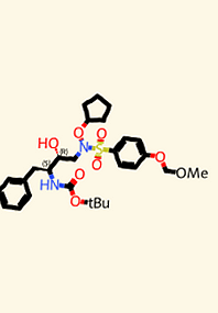 COCOc1ccc(S(=O)(=O)N(C[C@@H](O)[C@H](Cc2ccccc2)NC(=O)OC(C)(C)C)OC2CCCC2)cc1